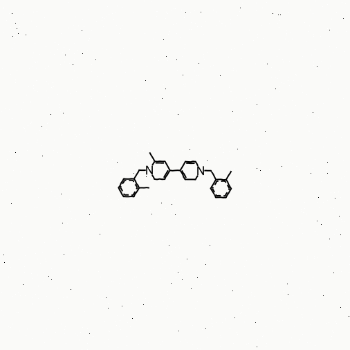 CC1=CC(C2=CCN(Cc3ccccc3C)C=C2)=CCN1Cc1ccccc1C